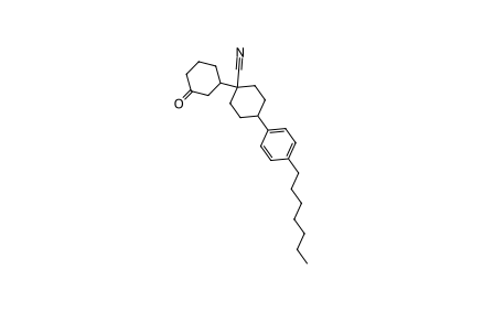 CCCCCCCc1ccc(C2CCC(C#N)(C3CCCC(=O)C3)CC2)cc1